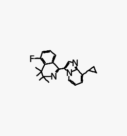 CC1(C)N=C(c2cnc3c(C4CC4)cccn23)c2cccc(F)c2C1(C)C